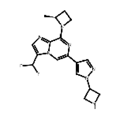 C[C@H]1CCN1c1nc(-c2cnn(C3CNC3)c2)cn2c(C(F)F)cnc12